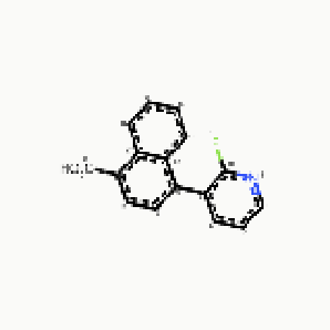 O=C(O)c1ccc(-c2cccnc2F)c2ccccc12